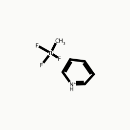 C[B-](F)(F)F.c1cc[nH+]cc1